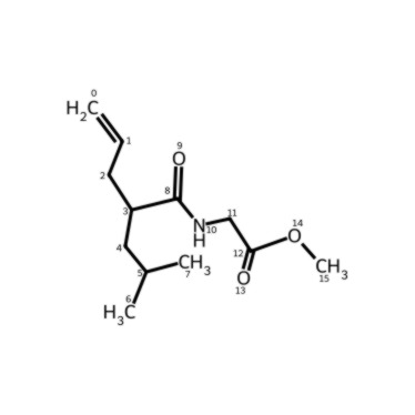 C=CCC(CC(C)C)C(=O)NCC(=O)OC